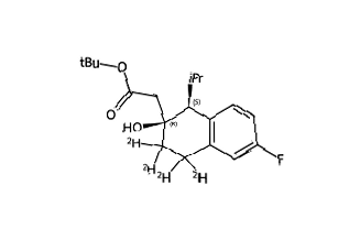 [2H]C1([2H])c2cc(F)ccc2[C@H](C(C)C)[C@@](O)(CC(=O)OC(C)(C)C)C1([2H])[2H]